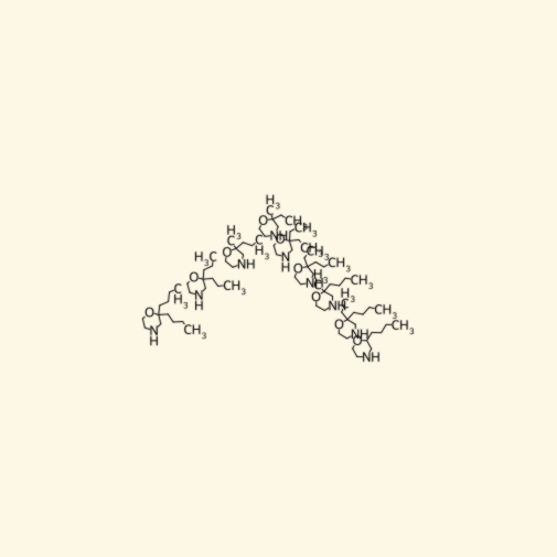 CCC1(C)CNCCO1.CCC1(CC)CNCCO1.CCCC1(C)CNCCO1.CCCC1(CC)CNCCO1.CCCC1(CCC)CNCCO1.CCCCC1(C)CNCCO1.CCCCC1(CC)CNCCO1.CCCCC1(CCCC)CNCCO1.CCCCC1CNCCO1